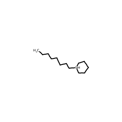 CCCCCCCC[SiH]1CCCCC1